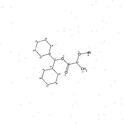 CC(C)OC(C)C(=O)OC(C1CCCCC1)C1CCCCC1